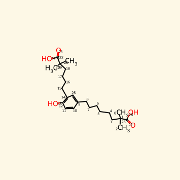 CC(C)(CCCCCCc1ccc(O)c(CCCCC(C)(C)C(=O)O)c1)C(=O)O